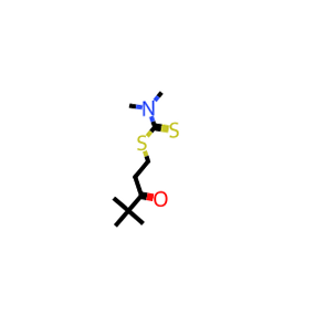 CN(C)C(=S)SCCC(=O)C(C)(C)C